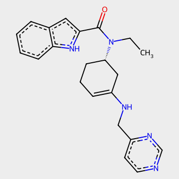 CCN(C(=O)c1cc2ccccc2[nH]1)[C@H]1CCC=C(NCc2ccncn2)C1